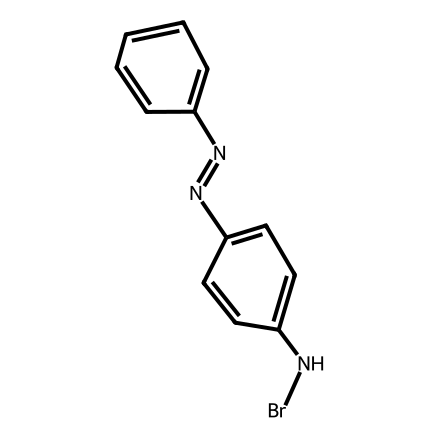 BrNc1ccc(N=Nc2ccccc2)cc1